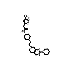 Cc1cc(CC(=O)N[C@H]2CC[C@H](CCN3CCc4cnc(N5CCCCC5)nc4C3)CC2)on1